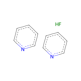 F.c1ccncc1.c1ccncc1